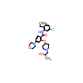 COCc1ccc(Cl)cc1NC(=O)c1ccc(N2CCOCC2)cc1OC1CCN(C[C@H](C)O)CC1